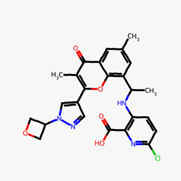 Cc1cc(C(C)Nc2ccc(Cl)nc2C(=O)O)c2oc(-c3cnn(C4COC4)c3)c(C)c(=O)c2c1